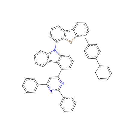 C1=CCC(c2ccc(-c3cccc4c3sc3c(-n5c6ccccc6c6c(-c7cc(-c8ccccc8)nc(-c8ccccc8)n7)cccc65)cccc34)cc2)C=C1